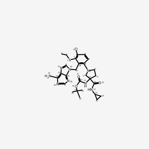 CCSc1c(Cl)ccc(N2CCC(NC(=O)OC(C)(C)C)(C(=O)NC3CC3)C2)c1Cn1cnc2c(N)ncnc21